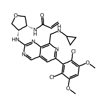 C=CC(=O)N[C@H]1COC[C@H]1Nc1ncc2cc(-c3c(Cl)c(OC)cc(OC)c3Cl)nc(CNC3CC3)c2n1